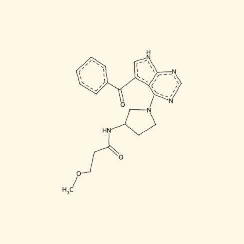 COCCC(=O)NC1CCN(c2ncnc3[nH]cc(C(=O)c4ccccc4)c23)C1